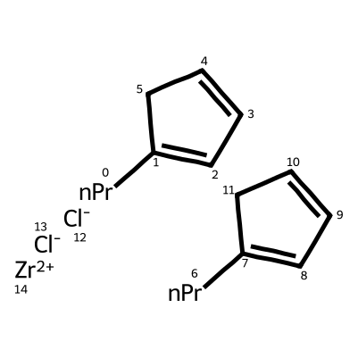 CCCC1=CC=CC1.CCCC1=CC=CC1.[Cl-].[Cl-].[Zr+2]